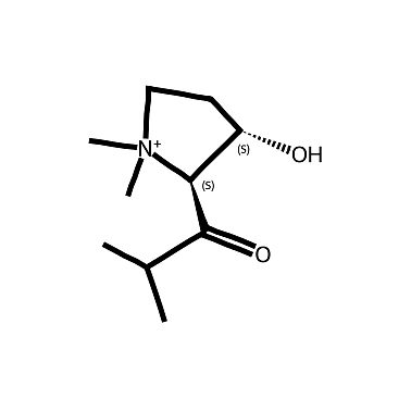 CC(C)C(=O)[C@@H]1[C@@H](O)CC[N+]1(C)C